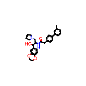 Cc1cccc(-c2ccc(CC(=O)NC(CN3CCCC3)C(O)c3ccc4c(c3)OCCO4)cc2)c1